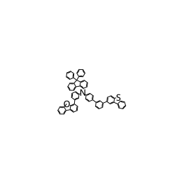 c1ccc(C2(c3ccccc3)c3ccccc3-c3c(N(c4ccc(-c5cccc(-c6ccc7sc8ccccc8c7c6)c5)cc4)c4cccc(-c5cccc6c5oc5ccccc56)c4)cccc32)cc1